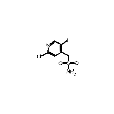 NS(=O)(=O)Cc1cc(Cl)ncc1I